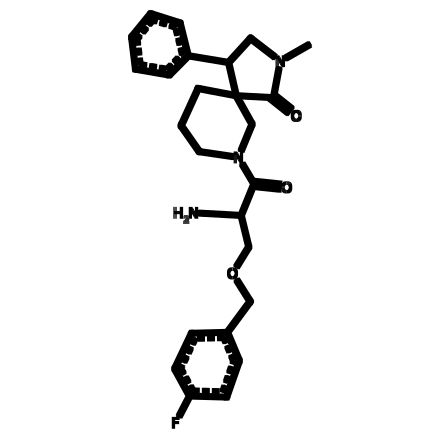 CN1CC(c2ccccc2)C2(CCCN(C(=O)C(N)COCc3ccc(F)cc3)C2)C1=O